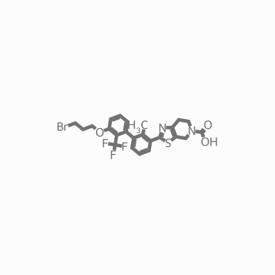 Cc1c(-c2nc3c(s2)CN(C(=O)O)CC3)cccc1-c1cccc(OCCCBr)c1C(F)(F)F